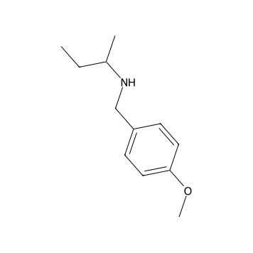 CCC(C)NCc1ccc(OC)cc1